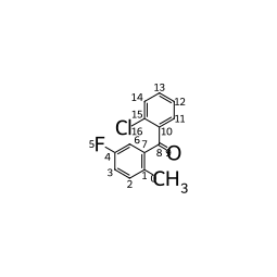 Cc1ccc(F)cc1C(=O)c1ccccc1Cl